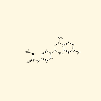 CC(CC(C)c1ccc(OC(=O)OC(C)(C)C)cc1)c1ccc(O)cc1